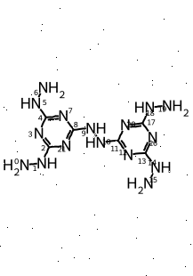 NNc1nc(NN)nc(NNc2nc(NN)nc(NN)n2)n1